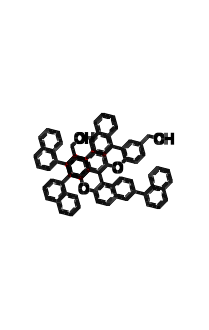 OCc1ccc(Oc2ccc3cc(-c4cccc5ccccc45)ccc3c2-c2c(Oc3ccc(CO)cc3-c3cccc4ccccc34)ccc3cc(-c4cccc5ccccc45)ccc23)c(-c2cccc3ccccc23)c1